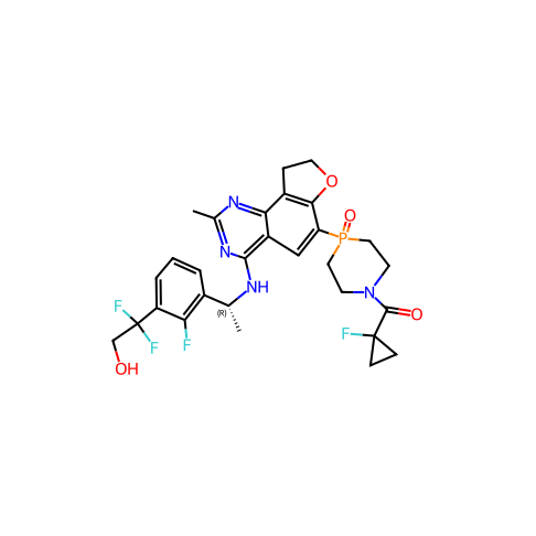 Cc1nc(N[C@H](C)c2cccc(C(F)(F)CO)c2F)c2cc(P3(=O)CCN(C(=O)C4(F)CC4)CC3)c3c(c2n1)CCO3